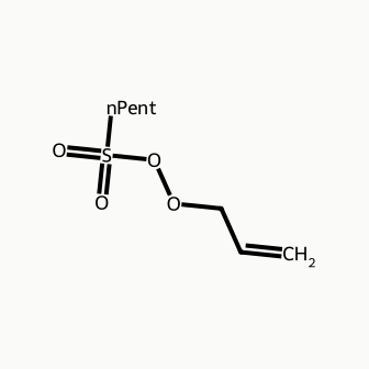 C=CCOOS(=O)(=O)CCCCC